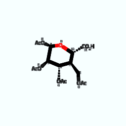 CC(=O)OC[C@H]1[C@H](OC(C)=O)[C@@H](OC(C)=O)[C@@H](OC(C)=O)O[C@@H]1C(=O)O